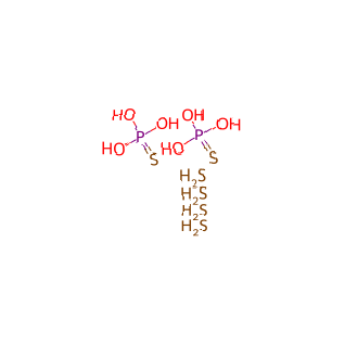 OP(O)(O)=S.OP(O)(O)=S.S.S.S.S